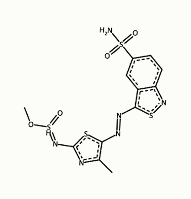 CO[SH](=O)=Nc1nc(C)c(/N=N/c2snc3ccc(S(N)(=O)=O)cc23)s1